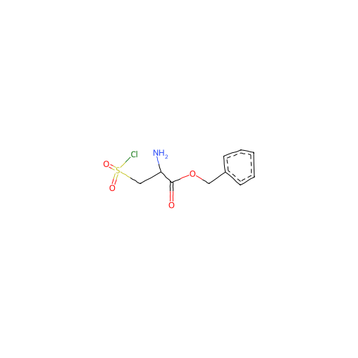 NC(CS(=O)(=O)Cl)C(=O)OCc1ccccc1